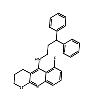 Fc1cccc2nc3c(c(NCCC(c4ccccc4)c4ccccc4)c12)CCCO3